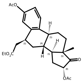 CCOC(=O)C[C@@H]1C[C@@H]2[C@H](CC[C@]3(C)C(=O)[C@H](OC(C)=O)C[C@@H]23)c2ccc(OC(C)=O)cc21